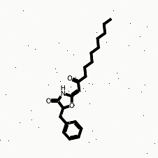 CCCCCCCCCC(=O)/C=C1\NC(=O)C(Cc2ccccc2)O1